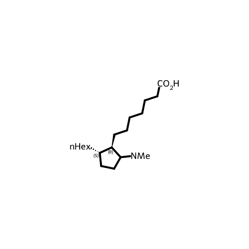 CCCCCC[C@H]1CCC(NC)[C@@H]1CCCCCCC(=O)O